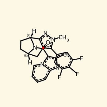 Cn1nc2c(c1-c1cc(F)c(F)c(F)c1)C[C@@H]1CC[C@H]2N1C(=O)c1c(Cl)nc2ccccn12